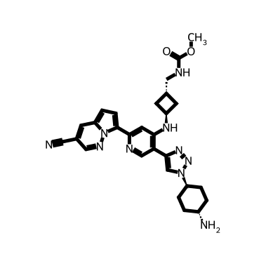 COC(=O)NC[C@H]1C[C@H](Nc2cc(-c3ccc4cc(C#N)cnn34)ncc2-c2cn([C@H]3CC[C@H](N)CC3)nn2)C1